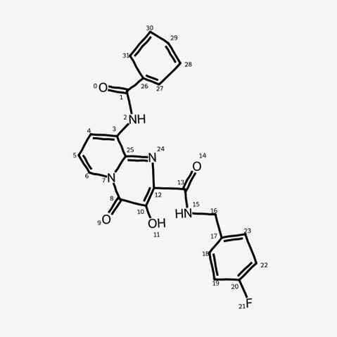 O=C(Nc1cccn2c(=O)c(O)c(C(=O)NCc3ccc(F)cc3)nc12)c1ccccc1